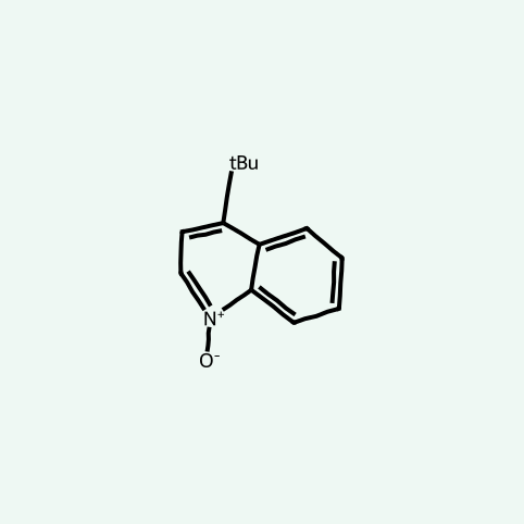 CC(C)(C)c1cc[n+]([O-])c2ccccc12